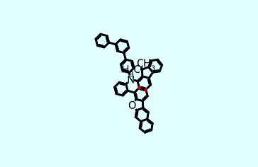 CC1(C)c2ccccc2-c2cccc(N(c3ccc(-c4cccc(-c5ccccc5)c4)cc3)c3ccccc3-c3cccc4c3oc3cc5ccccc5cc34)c21